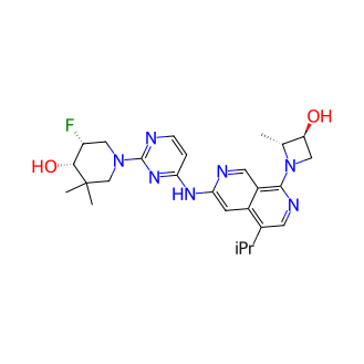 CC(C)c1cnc(N2C[C@H](O)[C@H]2C)c2cnc(Nc3ccnc(N4C[C@@H](F)[C@@H](O)C(C)(C)C4)n3)cc12